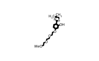 COCCOCCOCCOc1ccc(C2=NC(C)(C)CS2)c(O)c1